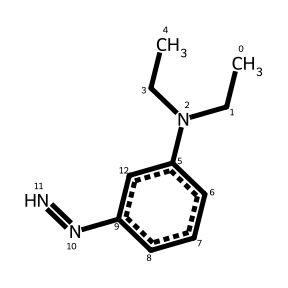 CCN(CC)c1cccc(N=N)c1